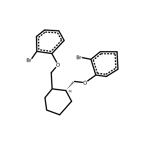 Brc1ccccc1OCC1CCCC[C@H]1COc1ccccc1Br